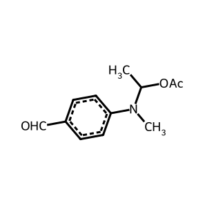 CC(=O)OC(C)N(C)c1ccc(C=O)cc1